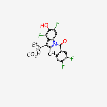 CC[C@H](C(=O)O)c1c(C)n(C(=O)c2ccc(F)c(F)c2)c2cc(F)c(O)c(F)c12